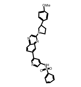 COc1ccc(C2CCN(c3cnc4ccc(-c5cncc(NS(=O)(=O)c6ccccc6)c5)cc4n3)C2)cc1